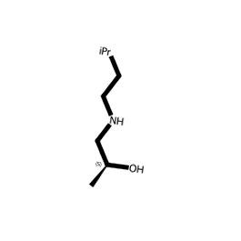 CC(C)CCNC[C@H](C)O